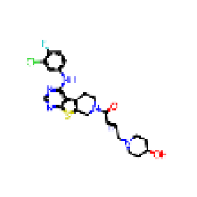 O=C(/C=C/CN1CCC(O)CC1)N1CCc2c(sc3ncnc(Nc4ccc(F)c(Cl)c4)c23)C1